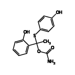 CC(OC(N)=O)(Sc1ccc(O)cc1)c1ccccc1O